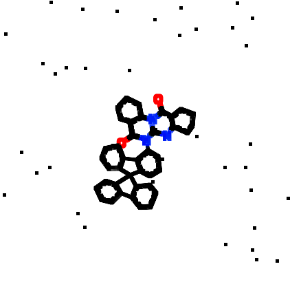 O=c1c2ccccc2n2c(=O)c3ccccc3nc2n1-c1cccc2c1-c1ccccc1C21c2ccccc2-c2ccccc21